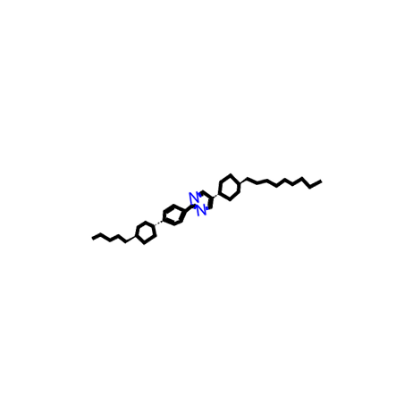 CCCCCCCCC[C@H]1CC[C@H](c2cnc(-c3ccc([C@H]4CC[C@H](CCCCC)CC4)cc3)nc2)CC1